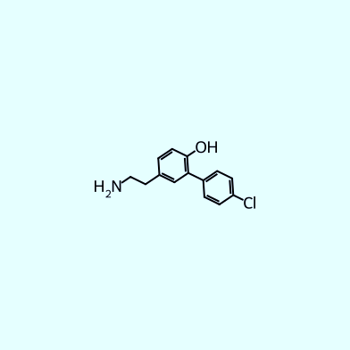 NCCc1ccc(O)c(-c2ccc(Cl)cc2)c1